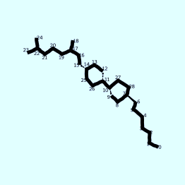 CCCCCCC[C@H]1CC[C@H]([C@H]2CC[C@@H](CCC(C)CCCC(C)C)CC2)CC1